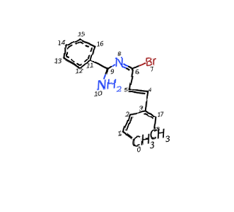 C\C=C/C(/C=C/C(Br)=N\C(N)c1ccccc1)=C\C